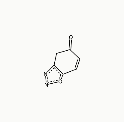 O=C1C=Cc2onnc2C1